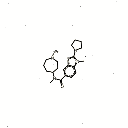 CCCN1CCCC(N(C)C(=O)c2ccc3c(c2)nc(N2CCCC2)n3C)CC1